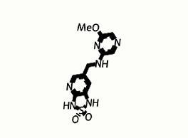 COc1cncc(NCc2cnc3c(c2)NS(=O)(=O)N3)n1